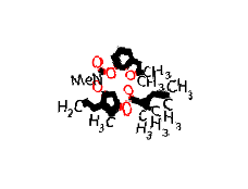 C=CCC1=C(C)C(OC(=O)C2C(C=C(C)C)C2(C)C)CC1=O.CNC(=O)Oc1cccc2c1OC(C)(C)C2